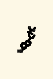 CCC(CC(C)(C)C(=O)OC)c1ccc2cc(O)ccc2c1